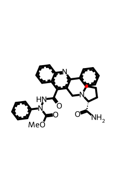 COC(=O)N(NC(=O)c1c(CN2CCC[C@@H]2C(N)=O)c(-c2ccccc2)nc2ccccc12)c1ccccc1